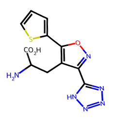 NC(Cc1c(-c2nnn[nH]2)noc1-c1cccs1)C(=O)O